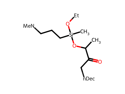 CCCCCCCCCCCC(=O)C(C)O[Si](C)(CCCNC)OCC